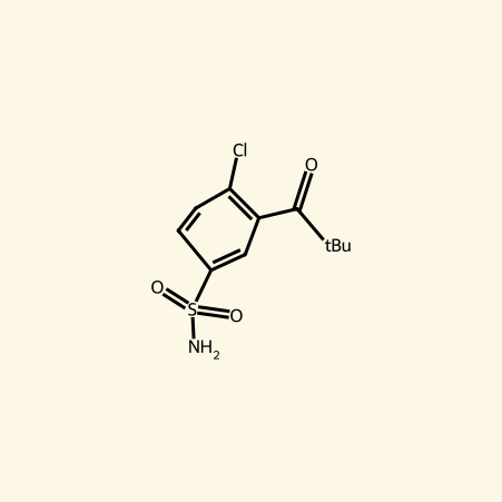 CC(C)(C)C(=O)c1cc(S(N)(=O)=O)ccc1Cl